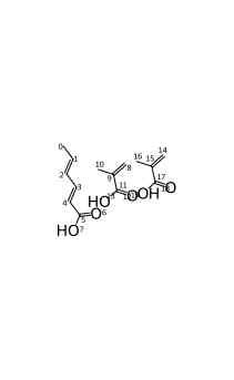 C/C=C/C=C/C(=O)O.C=C(C)C(=O)O.C=C(C)C(=O)O